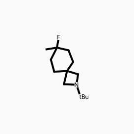 CC1(F)CCC2(CC1)CN(C(C)(C)C)C2